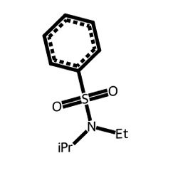 [CH2]CN(C(C)C)S(=O)(=O)c1ccccc1